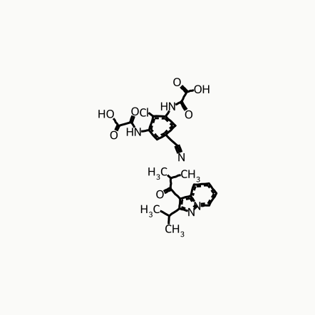 CC(C)C(=O)c1c(C(C)C)nn2ccccc12.N#Cc1cc(NC(=O)C(=O)O)c(Cl)c(NC(=O)C(=O)O)c1